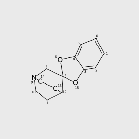 c1ccc2c(c1)OC1(CN3CCC1CC3)O2